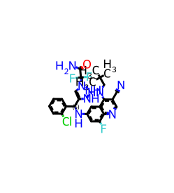 CC(C)(C)CNc1c(C#N)cnc2c(F)cc(N[C@H](C3=CN(C(F)(F)C(N)=O)NN3)c3ccccc3Cl)cc12